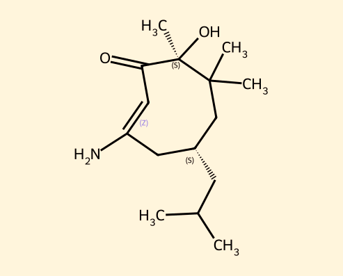 CC(C)C[C@@H]1C/C(N)=C/C(=O)[C@@](C)(O)C(C)(C)C1